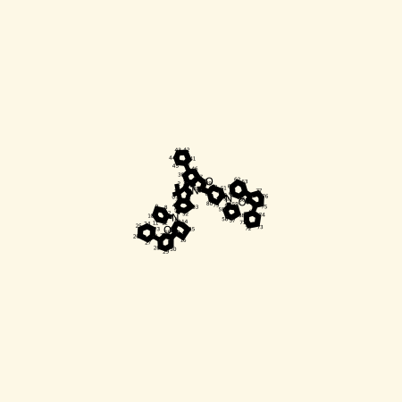 CC1(C)c2cc(N(c3ccccc3)c3cccc4c3oc3c(-c5ccccc5)cccc34)ccc2-c2c1c1cc(-c3ccccc3)cc3c4oc5cc(N(c6ccccc6)c6cccc7c6oc6c(-c8ccccc8)cccc67)ccc5c4n2c13